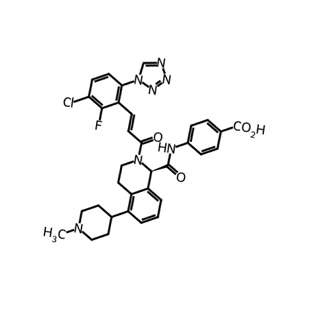 CN1CCC(c2cccc3c2CCN(C(=O)/C=C/c2c(-n4cnnn4)ccc(Cl)c2F)[C@H]3C(=O)Nc2ccc(C(=O)O)cc2)CC1